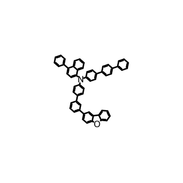 c1ccc(-c2ccc(-c3ccc(N(c4ccc(-c5cccc(-c6ccc7oc8ccccc8c7c6)c5)cc4)c4ccc(-c5ccccc5)c5ccccc45)cc3)cc2)cc1